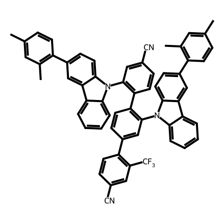 Cc1ccc(-c2ccc3c(c2)c2ccccc2n3-c2cc(C#N)ccc2-c2ccc(-c3ccc(C#N)cc3C(F)(F)F)cc2-n2c3ccccc3c3cc(-c4ccc(C)cc4C)ccc32)c(C)c1